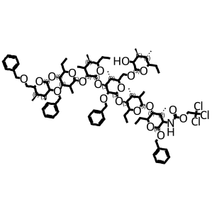 CCC1O[C@@H](O[C@@H]2C(OCc3ccccc3)[C@H](O[C@@H]3C(CC)O[C@@H](O[C@@H]4C(CC)O[C@@H](OCc5ccccc5)C(NC(=O)OCC(Cl)(Cl)Cl)[C@H]4C)C(C)[C@H]3C)OC(CO[C@H]3OC(CC)[C@@H](C)[C@H](C)C3O)[C@H]2C)[C@@H](O[C@@H]2OC(CC)[C@@H](O[C@@H]3OC(COCc4ccccc4)[C@H](C)[C@H](C)C3OCc3ccccc3)[C@H](C)C2C)C(C)[C@H]1C